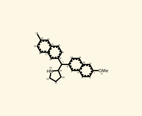 COc1ccc2cc(C(c3ccc4cc(C)ccc4c3)C3CCCN3)ccc2c1